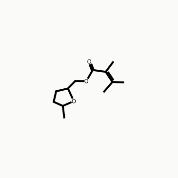 CC(C)=C(C)C(=O)OCC1CCC(C)O1